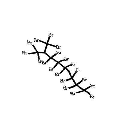 BrC(Br)(Br)[C](C(Br)(Br)Br)C(Br)(Br)C(Br)(Br)C(Br)(Br)C(Br)(Br)C(Br)(Br)C(Br)(Br)Br